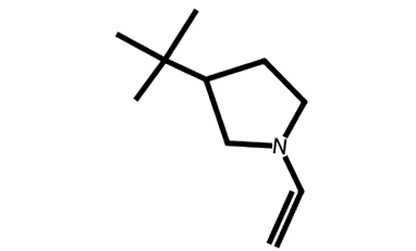 C=CN1CCC(C(C)(C)C)C1